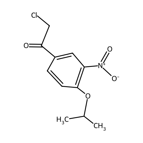 CC(C)Oc1ccc(C(=O)CCl)cc1[N+](=O)[O-]